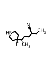 CCC(C#N)CC[C@H](C)C1(F)CCNCC1